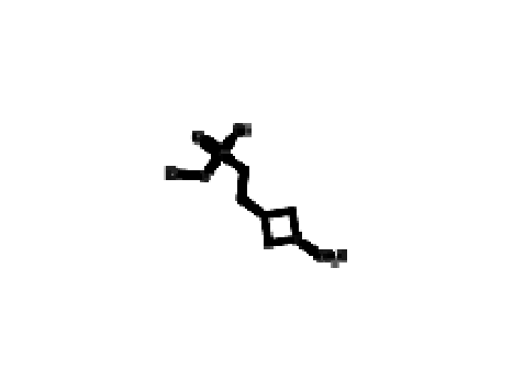 CCOP(=O)(O)CCC1CN(C(=O)O)C1